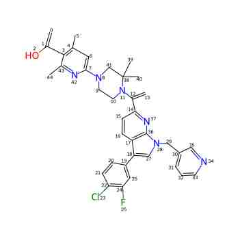 C=C(O)c1c(C)cc(N2CCN(C(=C)c3ccc4c(-c5ccc(Cl)c(F)c5)cn(Cc5cccnc5)c4n3)C(C)(C)C2)nc1C